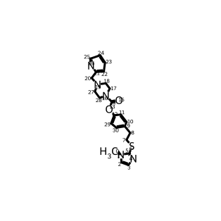 Cn1ccnc1SCCc1ccc(OC(=O)N2CCN(Cc3ccccn3)CC2)cc1